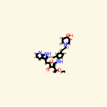 C=C(OCC)C1=C(Nc2ccc(CCN3CCC(O)CC3)cc2C)O/C(=C\c2c[nH]c3ncccc23)C1=O